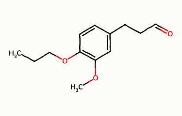 CCCOc1ccc(CCC=O)cc1OC